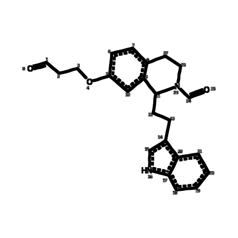 O=CCCOc1ccc2c(c1)C(CCc1c[nH]c3ccccc13)N(C=O)CC2